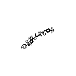 C=C/C(=C\C=C(/C)NC(=O)Cc1ccc(C(F)(F)F)cc1)Oc1ncnc2c1ccn2C(=O)NN1CCN(C)CC1